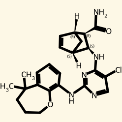 CC1(C)CCCOc2c(Nc3ncc(Cl)c(N[C@@H]4[C@H](C(N)=O)[C@H]5C=C[C@@H]4C5)n3)cccc21